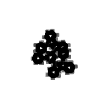 c1ccc(-c2nc(-n3c4ccccc4c4c5ccccc5n(-c5ccccc5)c43)cc(-n3c4ccccc4c4c5ccccc5n(-c5ccccc5)c43)n2)cc1